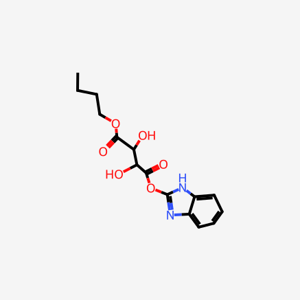 CCCCOC(=O)C(O)C(O)C(=O)Oc1nc2ccccc2[nH]1